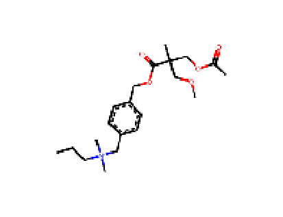 CCC[N+](C)(C)Cc1ccc(COC(=O)C(C)(COC)COC(C)=O)cc1